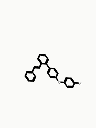 Brc1ccc(Oc2ccc(-c3ccccc3C=Cc3ccccc3)cc2)cc1